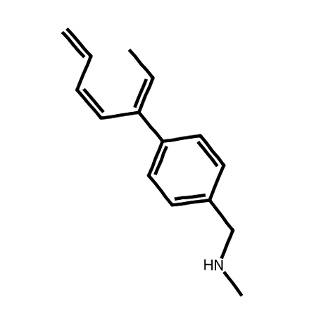 C=C/C=C\C(=C/C)c1ccc(CNC)cc1